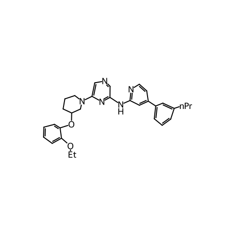 CCCc1cccc(-c2ccnc(Nc3cncc(N4CCCC(Oc5ccccc5OCC)C4)n3)c2)c1